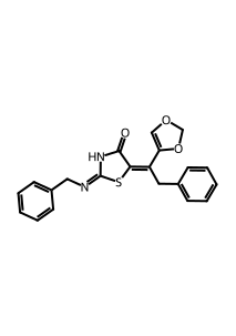 O=C1NC(=NCc2ccccc2)SC1=C(Cc1ccccc1)C1=COCO1